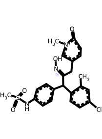 Cc1cc(Cl)ccc1C(/C(Cc1ccc(=O)n(C)c1)=N/O)c1ccc(NS(C)(=O)=O)cc1